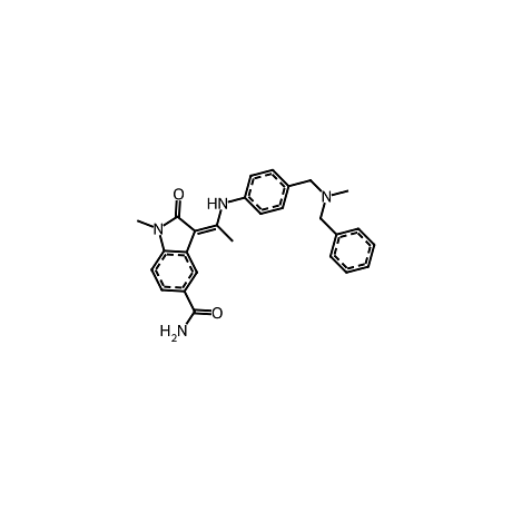 C/C(Nc1ccc(CN(C)Cc2ccccc2)cc1)=C1/C(=O)N(C)c2ccc(C(N)=O)cc21